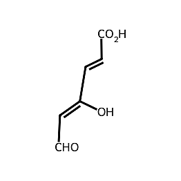 O=CC=C(O)C=CC(=O)O